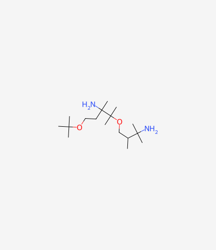 CC(COC(C)(C)C(C)(N)CCOC(C)(C)C)C(C)(C)N